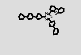 c1ccc(-c2ccc(-c3ccc(-c4nc(-c5ccc(-c6ccccc6)cc5)nc(-c5cccc6c5sc5ccccc56)n4)cc3)cc2)cc1